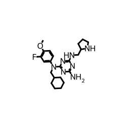 COc1ccc(N(CC2CCCCC2)c2nc(N)nc(NCC3CCCN3)n2)cc1F